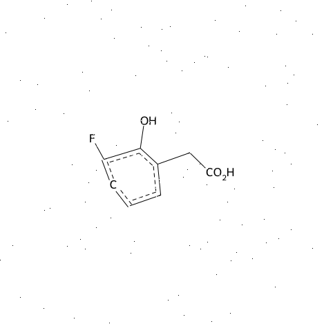 O=C(O)Cc1cccc(F)c1O